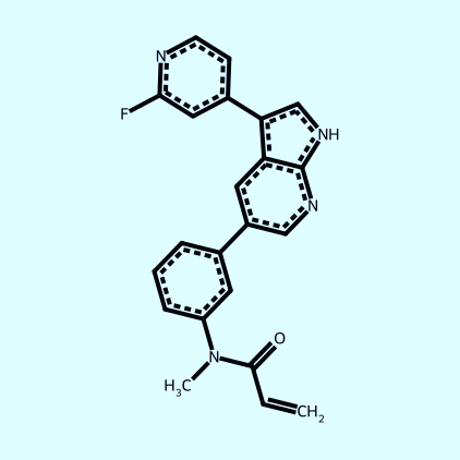 C=CC(=O)N(C)c1cccc(-c2cnc3[nH]cc(-c4ccnc(F)c4)c3c2)c1